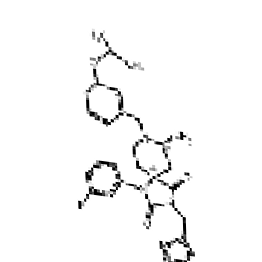 CC(C)OC1C=C(CN2CC[C@@]3(C[C@@H]2C)C(=O)N(Cc2ccon2)C(=O)N3c2cccc(F)c2)C=CC1